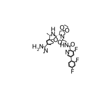 C=NC(N)c1csc([C@@H](C)NC(=O)[C@@H]2CC3(CN2C(=O)CNC(=O)c2ncc(-c4ccc(F)cc4F)cc2F)OCCO3)c1